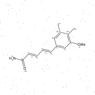 COc1cc(/C=C/C=C/C(N)=O)cc(C)c1C